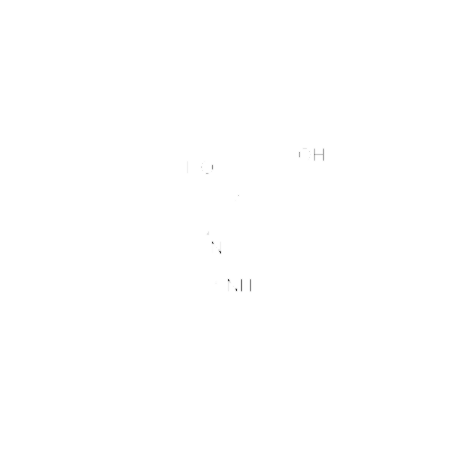 OCC(O)N1CC=CN1